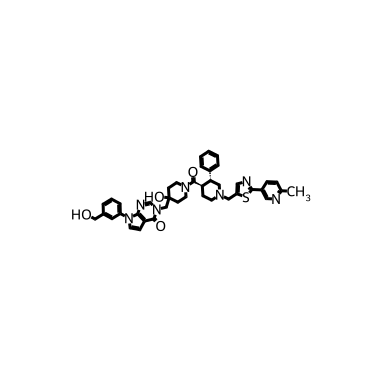 Cc1ccc(-c2ncc(CN3CC[C@@H](C(=O)N4CCC(O)(Cn5cnc6c(ccn6-c6cccc(CO)c6)c5=O)CC4)[C@H](c4ccccc4)C3)s2)cn1